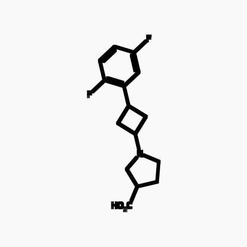 O=C(O)C1CCN(C2CC(c3cc(F)ccc3F)C2)C1